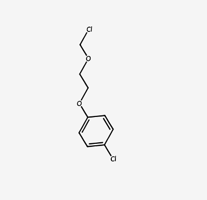 ClCOCCOc1ccc(Cl)cc1